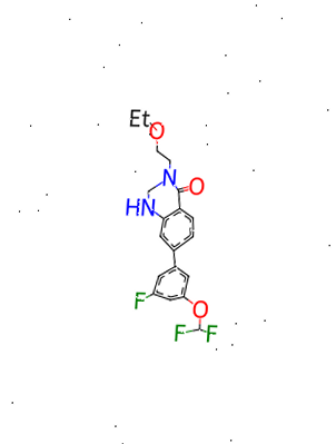 CCOCCN1CNc2cc(-c3cc(F)cc(OC(F)F)c3)ccc2C1=O